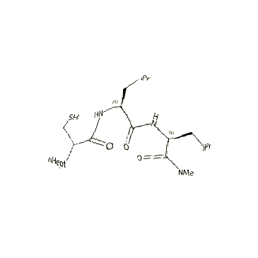 CCCCCCCC(CS)C(=O)N[C@@H](CC(C)C)C(=O)N[C@@H](CC(C)C)C(=O)NC